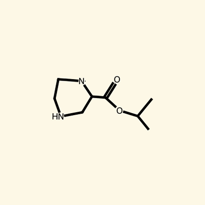 CC(C)OC(=O)C1CNCC[N]1